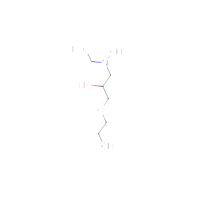 CCCOCC(O)CN(C)CC